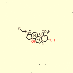 CC/C=C/[C@H]1CC[C@]2(O)[C@@H]3CC[C@@H]4C[C@@H](O)CC(C(=O)O)[C@]4(C)[C@H]3CC[C@]12C